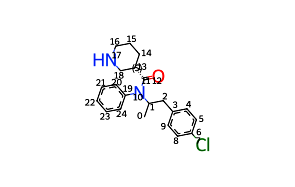 CC(Cc1ccc(Cl)cc1)N(C(=O)[C@H]1CCCNC1)c1ccccc1